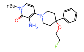 CCCCn1ccc(N2CCC(OCCF)(c3ccccc3)CC2)c(N)c1=O